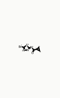 O=C(N=C1[N]N=C(Br)S1)C1CC1